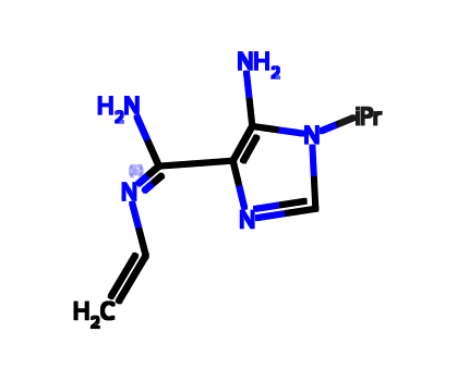 C=C/N=C(/N)c1ncn(C(C)C)c1N